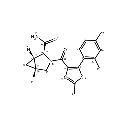 Cc1ccc(-c2sc(C)nc2C(=O)N2C[C@@H]3C[C@@H]3[C@H]2C(N)=O)c(C)c1